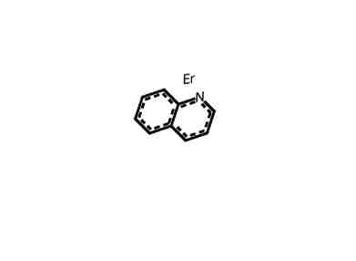 [Er].c1ccc2ncccc2c1